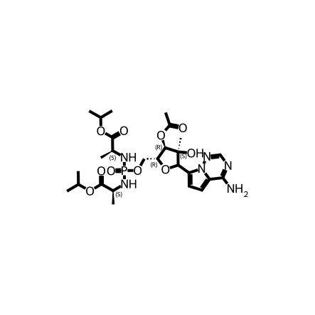 CC(=O)O[C@@H]1[C@@H](COP(=O)(N[C@@H](C)C(=O)OC(C)C)N[C@@H](C)C(=O)OC(C)C)OC(c2ccc3c(N)ncnn23)[C@]1(C)O